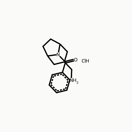 Cl.NCC1CC2CCC(C1)N2C(=O)c1ccccc1